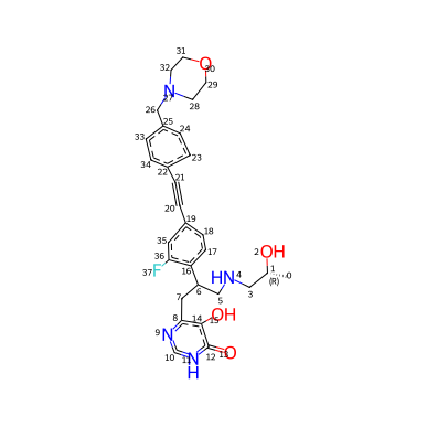 C[C@@H](O)CNCC(Cc1nc[nH]c(=O)c1O)c1ccc(C#Cc2ccc(CN3CCOCC3)cc2)cc1F